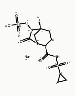 N=C(NS(=O)(=O)C1CC1)[C@@H]1CC[C@@H]2CN1C(=O)N2OS(=O)(=O)[O-].[Na+]